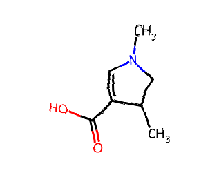 CC1CN(C)C=C1C(=O)O